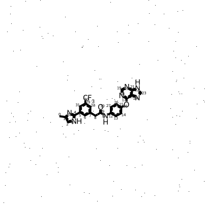 Cc1c[nH]c(-c2cc(CC(=O)Nc3ccc(Oc4ncnc5[nH]cnc45)cc3)cc(C(F)(F)F)c2)n1